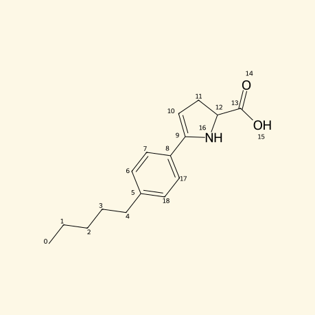 CCCCCc1ccc(C2=CCC(C(=O)O)N2)cc1